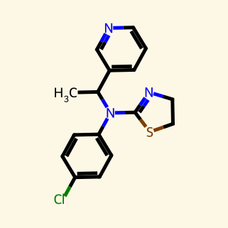 CC(c1cccnc1)N(C1=NCCS1)c1ccc(Cl)cc1